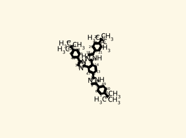 CC(C)(C)c1ccc(-c2cnc(-c3ccc(-c4ncc(-c5ccc(C(C)(C)C)cc5)[nH]4)c(-c4ncc(-c5ccc(C(C)(C)C)cc5)[nH]4)c3)[nH]2)cc1